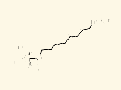 CCCCCCCCCCCCCCCCO[Si](C)(C)C